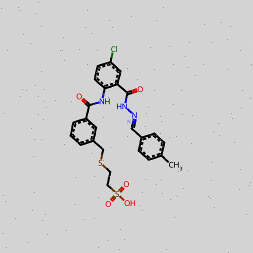 Cc1ccc(/C=N/NC(=O)c2cc(Cl)ccc2NC(=O)c2cccc(CSCCS(=O)(=O)O)c2)cc1